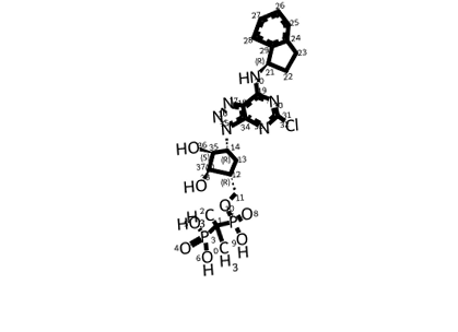 CC(C)(P(=O)(O)O)P(=O)(O)OC[C@H]1C[C@@H](n2nnc3c(N[C@@H]4CCc5ccccc54)nc(Cl)nc32)[C@H](O)[C@@H]1O